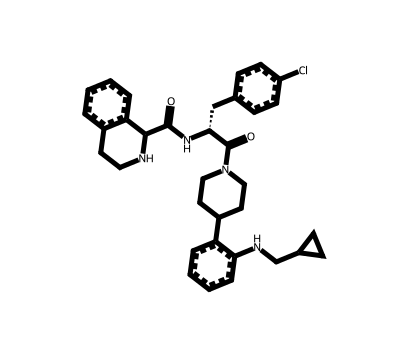 O=C(N[C@H](Cc1ccc(Cl)cc1)C(=O)N1CCC(c2ccccc2NCC2CC2)CC1)C1N[CH]Cc2ccccc21